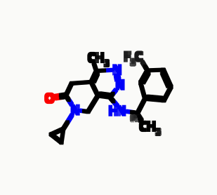 Cc1nnc(N[C@H](C)c2cccc(C(F)(F)F)c2)c2c1CC(=O)N(C1CC1)C2